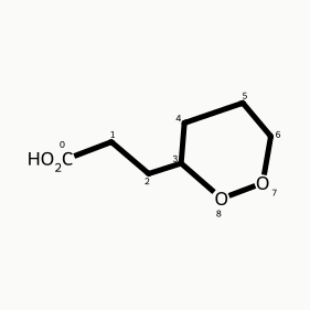 O=C(O)CCC1CCCOO1